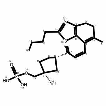 C=C(/C=C\C1=C(C)CCc2nc(CCCC)sc21)[C@H]1CC[C@](N)(COP(=O)(O)O)C1